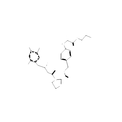 CC(C)[C@@H](NC1C=CC(CNC(=O)[C@@H]2SCCN2C(=O)C[C@H](N)Cc2cc(F)c(F)cc2F)=CC1)C(=O)NCCO